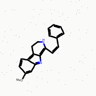 COc1ccc2c(c1)=NC1=C(/C=C\c3ccccc3)NCCC=21